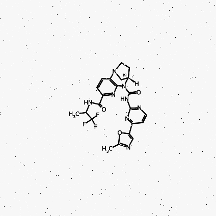 Cc1ncc(-c2ccnc(NC(=O)N3c4nc(C(=O)NC(C)C(F)(F)F)ccc4N4CC[C@H]3C4)n2)o1